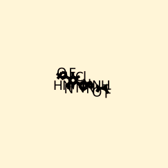 CC1(C)CC(c2c(F)c(Cl)c(-c3cn4cc(NC(=O)C5CC5F)nc4cn3)c3cn[nH]c23)CO1